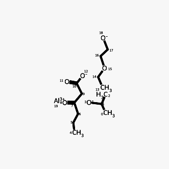 CC(C)[O-].CCCC(=O)CC(=O)[O-].CCOCC[O-].[Al+3]